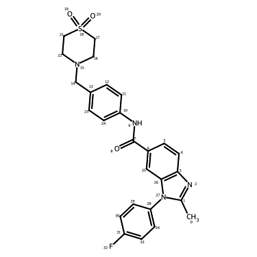 Cc1nc2ccc(C(=O)Nc3ccc(CN4CCS(=O)(=O)CC4)cc3)cc2n1-c1ccc(F)cc1